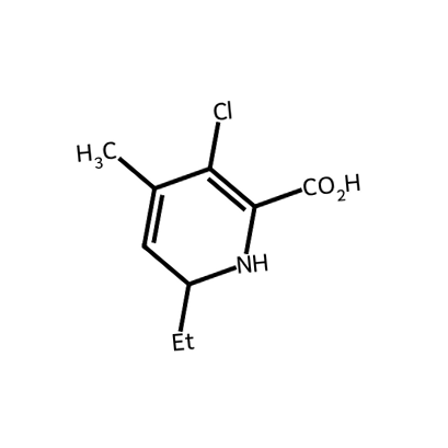 CCC1C=C(C)C(Cl)=C(C(=O)O)N1